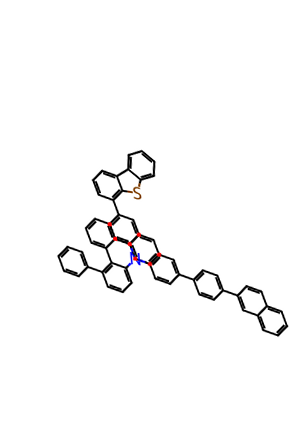 c1ccc(-c2ccccc2-c2c(-c3ccccc3)cccc2N(c2ccc(-c3ccc(-c4ccc5ccccc5c4)cc3)cc2)c2ccc(-c3cccc4c3sc3ccccc34)cc2)cc1